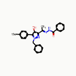 C/C(=N\NC(=O)c1ccccc1)c1nn(Cc2ccccc2)c(-c2ccc(C(C)(C)C)cc2)c1O